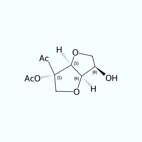 CC(=O)O[C@@]1(C(C)=O)CO[C@@H]2[C@H](O)CO[C@@H]21